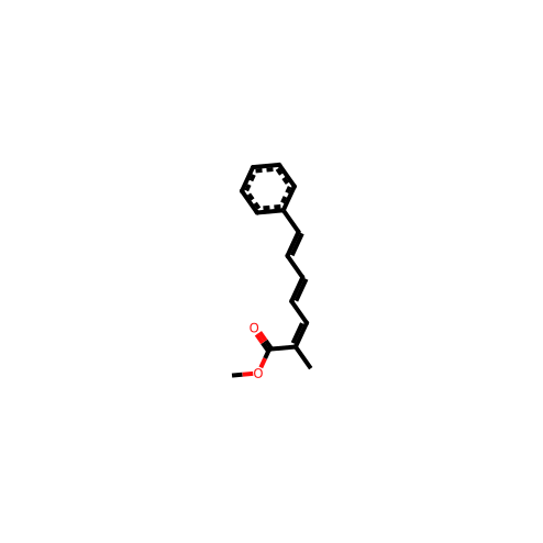 COC(=O)C(C)=CC=CC=Cc1ccccc1